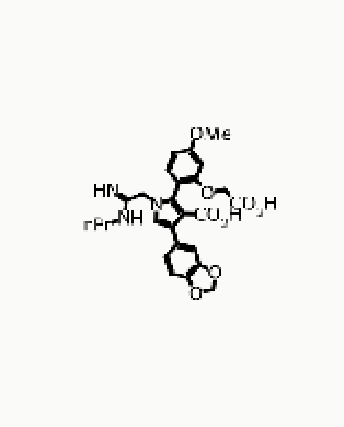 CCCNC(=N)Cn1cc(-c2ccc3c(c2)OCO3)c(C(=O)O)c1-c1ccc(OC)cc1OCC(=O)O